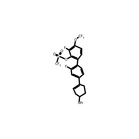 CCCC1CC=C(c2ccc(-c3ccc(OC(F)(F)F)c(F)c3OS(=O)(=O)C(F)(F)F)c(F)c2)CC1